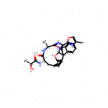 CC(C)c1coc(-c2nc3oc2C24c5ccccc5NC2Oc2ccc(cc24)C[C@H](NC(=O)[C@@H](O)C(C)C)C(=O)N[C@H]3C(C)C)n1